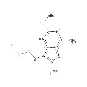 CCCCOc1nc(N)c2nc(OC)n(CCCCl)c2n1